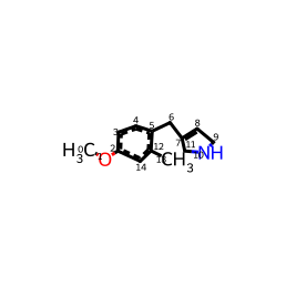 COc1ccc(CC2=CCNC2)c(C)c1